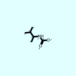 CC(C)C(C)NC([O])=O